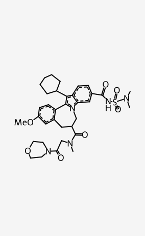 COc1ccc2c(c1)CC(C(=O)N(C)CC(=O)N1CCOCC1)Cn1c-2c(C2CCCCC2)c2ccc(C(=O)NS(=O)(=O)N(C)C)cc21